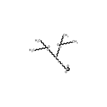 CCCCCCCCC(CCCCCC)C(=O)OCCCCCCN(CCCCCCOC(=O)C(CCCCCC)CCCCCCCC)CCSCCSCCCN1C(=O)C=CC1=O